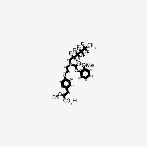 CCOC(Cc1ccc(OCCN(CC(F)(F)C(F)(F)C(F)(F)C(F)(F)C(F)(F)F)C(=O)Oc2ccccc2OC)cc1)C(=O)O